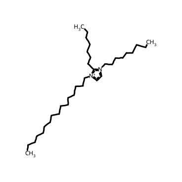 CCCCCCCCCCCCCCCC[n+]1ccn(CCCCCCCCC)c1CCCCCCC